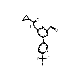 O=Cc1cc(-c2ccc(C(F)(F)F)nc2)cc(NC(=O)C2CC2)n1